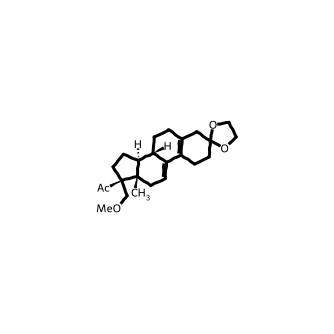 COC[C@]1(C(C)=O)CC[C@H]2[C@@H]3CCC4=C(CCC5(C4)OCCO5)C3=CC[C@@]21C